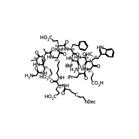 CCCCCCCCCCCCCCCC(=O)N[C@@H](CCC(=O)O)C(=O)NCCCC[C@H](NC(=O)[C@H](C)NC(=O)[C@H](C)NC(=O)[C@H](CCC(=O)O)NC(=O)CN)C(=O)N[C@@H](CCC(=O)O)C(=O)N[C@@H](Cc1ccccc1)C(=O)N[C@H](C(=O)N[C@@H](C)C(=O)N(C(=O)[C@H](CCC(=O)O)NC(=O)[C@@H](N)CC(C)C)[C@H]([C]=O)Cc1c[nH]c2ccccc12)[C@@H](C)CC